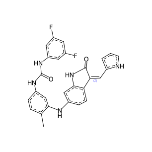 Cc1ccc(NC(=O)Nc2cc(F)cc(F)c2)cc1Nc1ccc2c(c1)NC(=O)/C2=C\c1ccc[nH]1